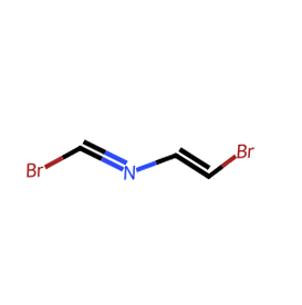 Br/C=C/N=C/Br